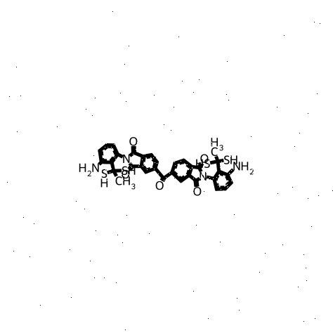 CC(S)(S)c1c(N)cccc1N1C(=O)c2ccc(C(=O)c3ccc4c(c3)C(=O)N(c3cccc(N)c3C(C)(S)S)C4=O)cc2C1=O